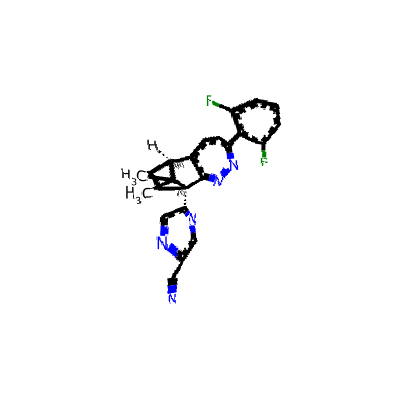 CC1(C)[C@H]2CC[C@]1(c1cnc(C#N)cn1)c1nnc(-c3c(F)cccc3F)cc12